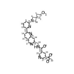 COC1CC2(C1)CN(c1cccc(-c3ccc4cnc(CNC(=O)c5cncc(S(C)(=O)=O)c5)cc4n3)n1)C2